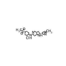 Cn1cc(-c2cc3cnc(Nc4ccc(S(C)(=O)=O)cc4Cl)cc3[nH]2)cn1